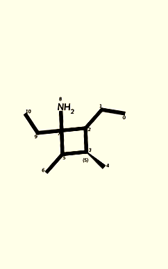 CCC1[C@@H](C)C(C)C1(N)CC